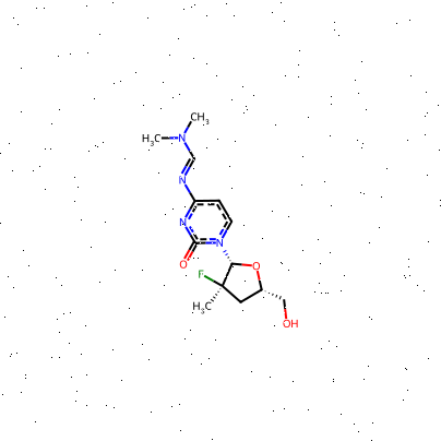 CN(C)/C=N/c1ccn([C@@H]2O[C@H](CO)C[C@@]2(C)F)c(=O)n1